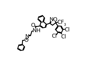 O=C(NCC=NOCc1ccccc1)c1ccc(C2=NOC(c3cc(Cl)c(Cl)c(Cl)c3)(C(F)(F)F)C2)c2ccccc12